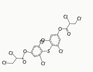 O=C(Oc1cc(Cl)c(Sc2c(Cl)cc(OC(=O)C(Cl)CCl)cc2Cl)c(Cl)c1)C(Cl)CCl